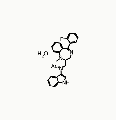 CC(=O)N(CC1CN=C(c2ccccc2F)c2ccccc2N1C)c1c[nH]c2ccccc12.O